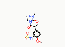 CCN(C(=O)NC)C(=O)C(C)c1ccc(OC)c(N=S(=O)=O)c1